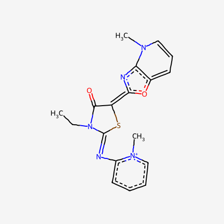 CCN1C(=O)/C(=c2\nc3c(o2)=CC=CN3C)S/C1=N\c1cccc[n+]1C